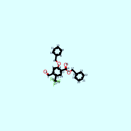 O=Cc1cc(OCc2ccccc2)c(C(=O)OCc2ccccc2)cc1C(F)(F)F